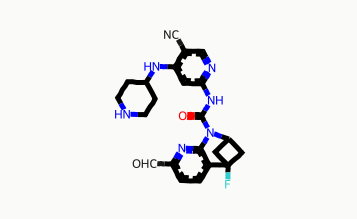 N#Cc1cnc(NC(=O)N2c3nc(C=O)ccc3C3(F)CC2C3)cc1NC1CCNCC1